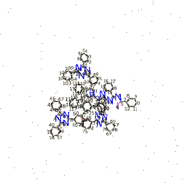 N/C(=N\C(=N/C(I)c1ccccc1)c1ccccc1)c1cccc(-c2cc(-c3cccc(-c4nc(-c5ccccc5)nc(-c5ccccc5)n4)c3)cc(C3(c4cc(C5=CCCC(c6nc(C7=CCCC=C7)nc(-c7ccccc7)n6)=C5)cc(-c5cccc(-c6nc(-c7ccccc7)nc(-c7ccccc7)n6)c5)c4)c4ccccc4-c4ccccc43)c2)c1